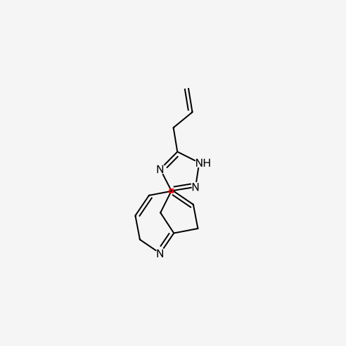 C=CCc1nc(C/C2=N\C/C=C\C=C/C2)n[nH]1